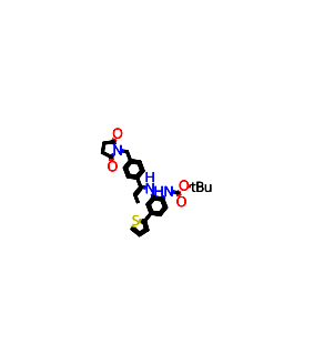 C/C=C(\Nc1cc(-c2cccs2)ccc1NC(=O)OC(C)(C)C)c1ccc(CN2C(=O)CCC2=O)cc1